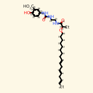 CCC=CCC=CCC=CCCCCCCCCOC(CC)C(=O)NCCNC(=O)Nc1ccc(O)c(C(=O)O)c1